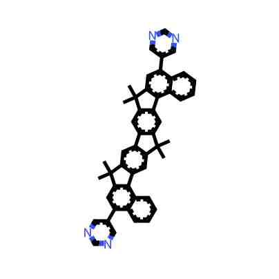 CC1(C)c2cc3c(cc2-c2cc4c(cc21)-c1c(cc(-c2cncnc2)c2ccccc12)C4(C)C)C(C)(C)c1cc(-c2cncnc2)c2ccccc2c1-3